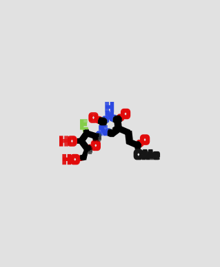 COC(=O)C=Cc1cn([C@H]2O[C@@H](CO)C(O)C2F)c(=O)[nH]c1=O